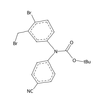 CC(C)(C)OC(=O)N(c1ccc(C#N)cc1)c1ccc(Br)c(CBr)c1